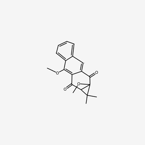 COc1c2c([c]c3ccccc13)C(=O)C1(OC)C(C2=O)C1(C)C